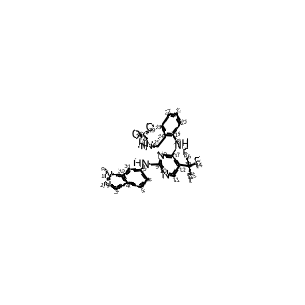 Cn1ncc2ccc(Nc3ncc(C(F)(F)F)c(Nc4ccccc4CN[SH](=O)=O)n3)cc21